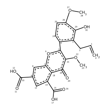 C=CCc1c(-c2oc3cc(C(=O)O)cc(C(=O)O)c3c(=O)c2OC)ccc(OC)c1O